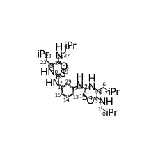 CC(C)CNC(=O)[C@H](CC(C)C)NC(=S)Nc1cccc(NC(=S)N[C@@H](CC(C)C)C(=O)NCC(C)C)c1